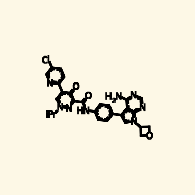 CC(C)n1cc(-c2ccc(Cl)cn2)c(=O)c(C(=O)Nc2ccc(-c3cn(C4COC4)c4ncnc(N)c34)cc2)n1